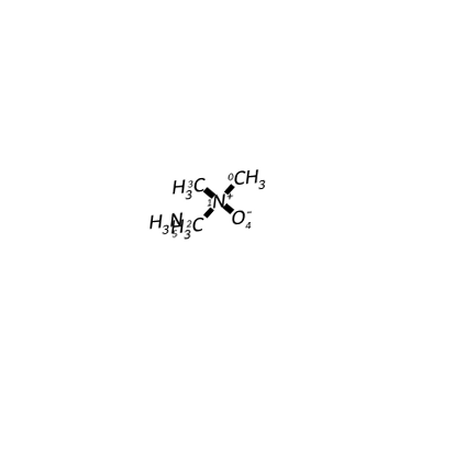 C[N+](C)(C)[O-].N